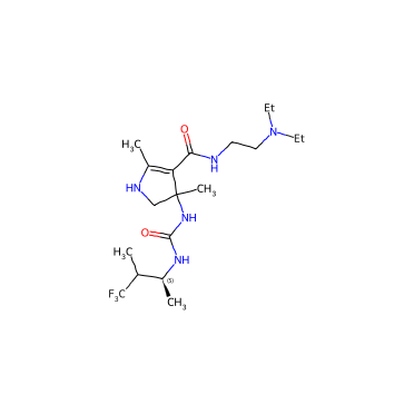 CCN(CC)CCNC(=O)C1=C(C)NCC1(C)NC(=O)N[C@@H](C)C(C)C(F)(F)F